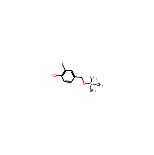 CC(C)(C)[Si](C)(C)OCc1ccc(O)c(I)c1